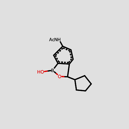 CC(=O)Nc1ccc2c(c1)B(O)OC2C1CCCC1